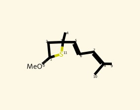 COC1CC(C)(C=CC=C(C)C)S1